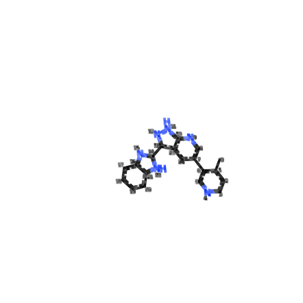 Cc1ccncc1-c1cnc2[nH]nc(-c3nc4ccccc4[nH]3)c2c1